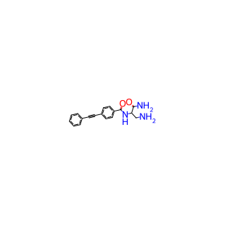 NCC(NC(=O)c1ccc(C#Cc2ccccc2)cc1)C(N)=O